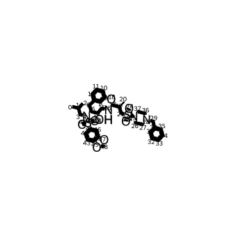 CC(C)CN(C(Cc1ccccc1)[C@H](O)CNC(=O)[C@@H](C)CS(=O)(=O)N1CCN(Cc2ccccc2)CC1)S(=O)(=O)c1ccc2c(c1)OCO2